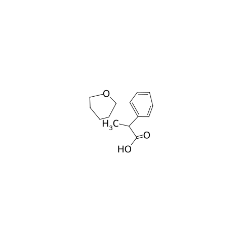 C1CCOCC1.CC(C(=O)O)c1ccccc1